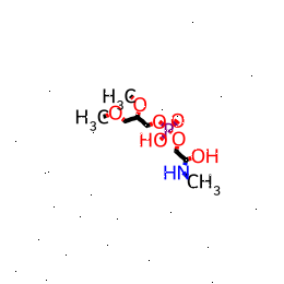 CNC(O)COP(=O)(O)OCC(COC)OC